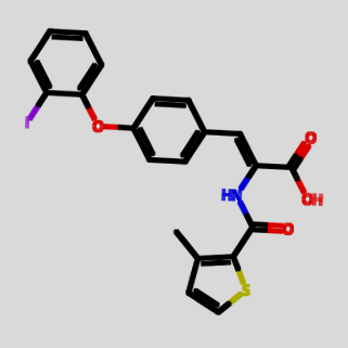 Cc1ccsc1C(=O)NC(=Cc1ccc(Oc2ccccc2I)cc1)C(=O)O